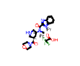 CC(C)CN(C(=O)c1nc2ccccc2n1C(C)C)[C@@H]1CNC[C@H](C(=O)N2CCOCC2)C1.O=C(O)C(F)(F)F